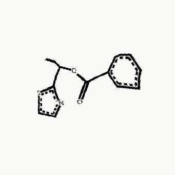 CC(OC(=O)c1ccccc1)c1nccs1